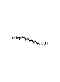 CCCCCCCCCCCC[CH]CCC(=O)O